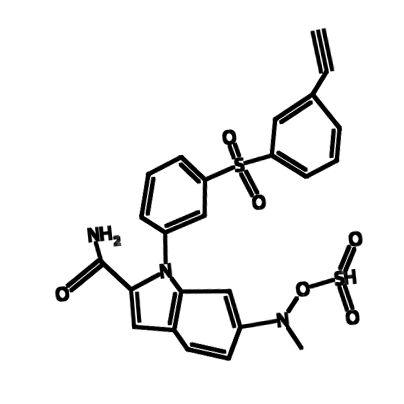 C#Cc1cccc(S(=O)(=O)c2cccc(-n3c(C(N)=O)cc4ccc(N(C)O[SH](=O)=O)cc43)c2)c1